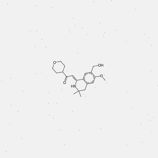 COc1cc2c(cc1CO)C(=CC(=O)C1CCOCC1)NC(C)(C)C2